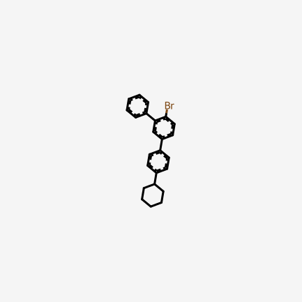 Brc1ccc(-c2ccc(C3CCCCC3)cc2)cc1-c1ccccc1